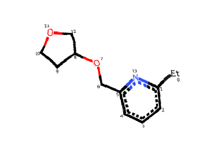 CCc1cccc(COC2CCOC2)n1